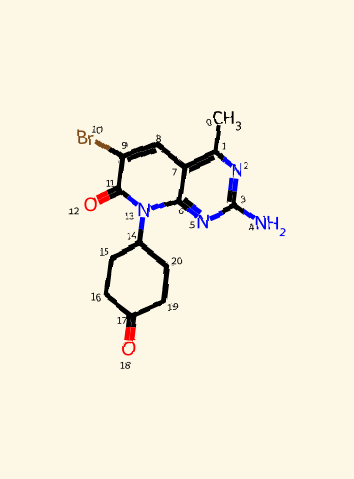 Cc1nc(N)nc2c1cc(Br)c(=O)n2C1CCC(=O)CC1